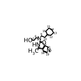 C[C@@H](NC(=O)N(CCO)CCC1CCCCC1)c1ccncc1